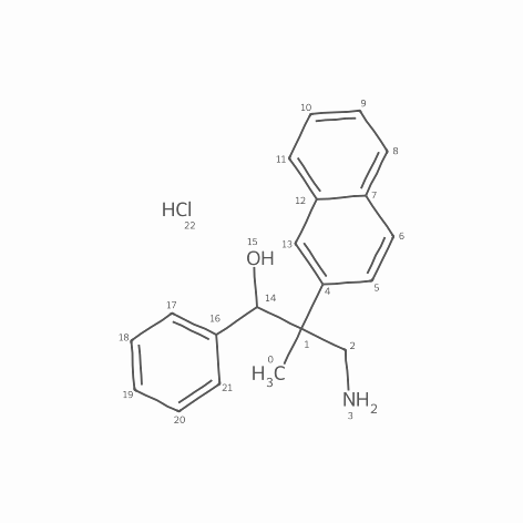 CC(CN)(c1ccc2ccccc2c1)C(O)c1ccccc1.Cl